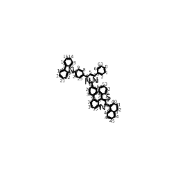 c1ccc(-c2cc(-c3ccc(-n4c5ccccc5c5ccccc54)cc3)nc(-c3ccc(-c4cccc5nc(-c6cccc7ccccc67)c6sc7ccccc7c6c45)cc3)n2)cc1